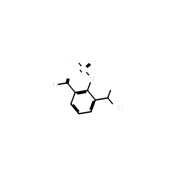 CC(O)c1cccc(C(N)=O)c1NS(C)(=O)=O